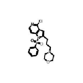 O=S(=O)(c1ccccc1)n1c(CCCN2CCOCC2)cc2c(Cl)nccc21